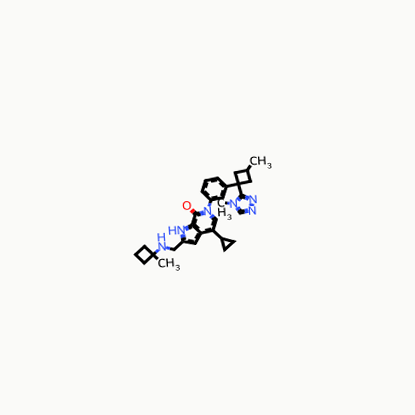 CC1CC(c2cccc(-n3cc(C4CC4)c4cc(CNC5(C)CCC5)[nH]c4c3=O)c2)(c2nncn2C)C1